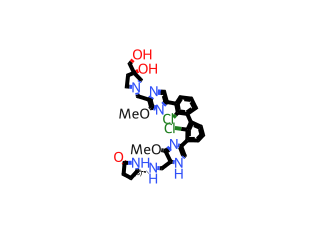 COC1=NC(c2cccc(-c3cccc(-c4cnc(CN5CCC(O)(CO)C5)c(OC)n4)c3Cl)c2Cl)=CNC1CNC[C@@H]1CCC(=O)N1